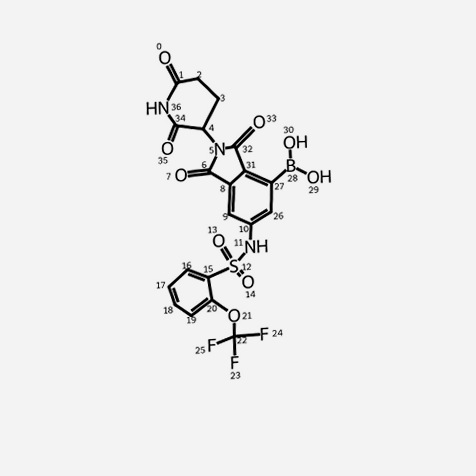 O=C1CCC(N2C(=O)c3cc(NS(=O)(=O)c4ccccc4OC(F)(F)F)cc(B(O)O)c3C2=O)C(=O)N1